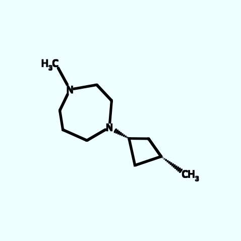 CN1CCCN([C@H]2C[C@@H](C)C2)CC1